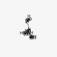 Cc1ccc2[nH]nc(C(=O)N3CC[C@H]4CC[C@@H](C(=O)N(C)CCCCCCC#Cc5cccc6c5CN(C5CCC(=O)NC5=O)C6=O)N4C(=O)[C@@H](NC(=O)c4ccc5ccc(C(F)(F)P(=O)(O)O)cc5c4)C3)c2c1